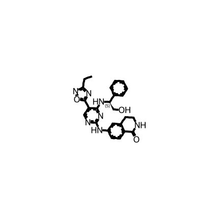 CCc1noc(-c2cnc(Nc3ccc4c(c3)CCNC4=O)nc2N[C@H](CO)c2ccccc2)n1